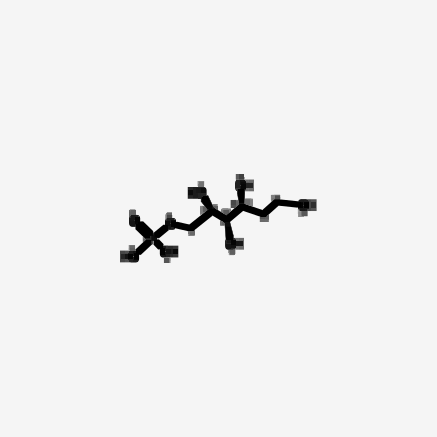 O=P(O)(O)OC[C@@H](O)[C@H](O)[C@@H](O)CCO